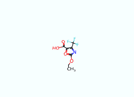 CCOc1nc(C(F)(F)F)c(C(=O)O)o1